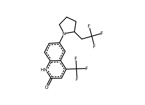 O=c1cc(C(F)(F)F)c2cc(N3CCCC3CC(F)(F)F)ccc2[nH]1